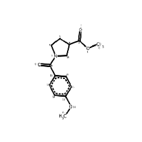 COC(=O)C1CCN(C(=O)c2ccc(OC)cc2)C1